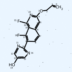 C=CCOc1cc2ccc(-c3ncc(O)cn3)c(F)c2c(F)n1